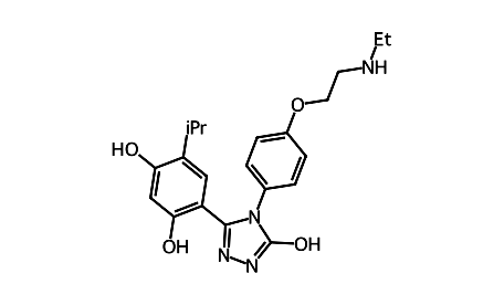 CCNCCOc1ccc(-n2c(O)nnc2-c2cc(C(C)C)c(O)cc2O)cc1